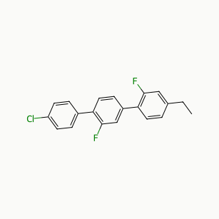 CCc1ccc(-c2ccc(-c3ccc(Cl)cc3)c(F)c2)c(F)c1